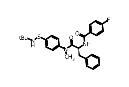 CN(C(=O)[C@H](Cc1ccccc1)NC(=O)c1ccc(F)cc1)c1ccc(SNC(C)(C)C)cc1